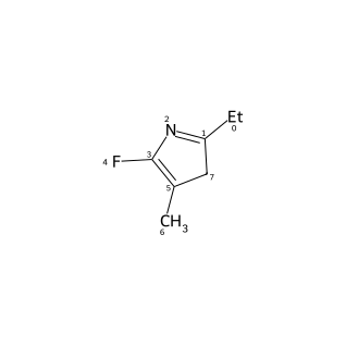 CCC1=NC(F)=C(C)C1